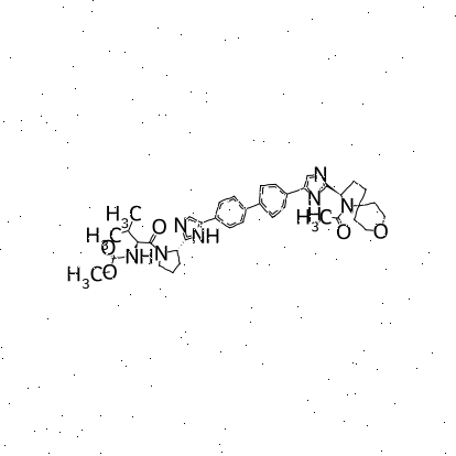 COC(=O)N[C@H](C(=O)N1CCC[C@H]1c1ncc(-c2ccc(-c3ccc(-c4cnc([C@H]5CCC6(CCOCC6)N5C(C)=O)[nH]4)cc3)cc2)[nH]1)C(C)C